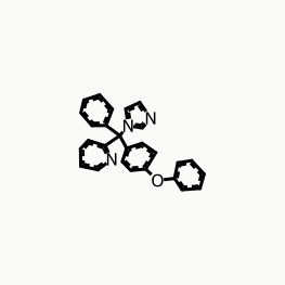 c1ccc(Oc2ccc(C(c3ccccc3)(c3ccccn3)n3ccnc3)cc2)cc1